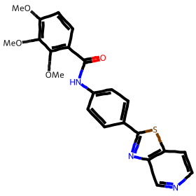 COc1ccc(C(=O)Nc2ccc(-c3nc4cnccc4s3)cc2)c(OC)c1OC